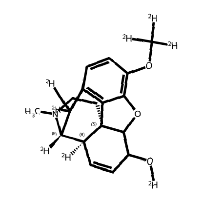 [2H]OC1C=C[C@]2([2H])[C@@]34CCN(C)[C@]2([2H])C([2H])([2H])c2ccc(OC([2H])([2H])[2H])c(c23)OC14